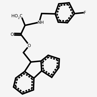 O=C(O)C(NCc1ccc(F)cc1)C(=O)OCC1c2ccccc2-c2ccccc21